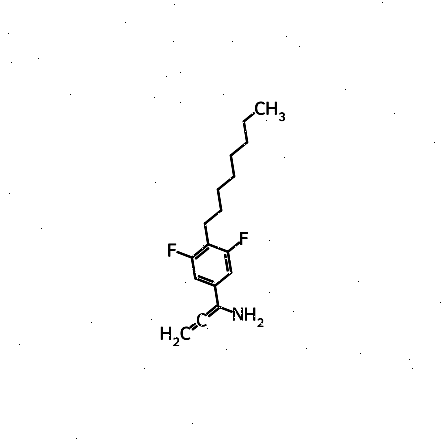 C=C=C(N)c1cc(F)c(CCCCCCCC)c(F)c1